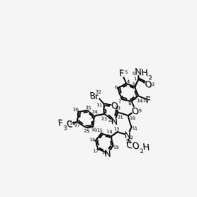 NC(=O)c1c(F)ccc(OC(CN(Cc2cccnc2)C(=O)O)c2nc(-c3ccc(C(F)(F)F)cc3)c(Br)o2)c1F